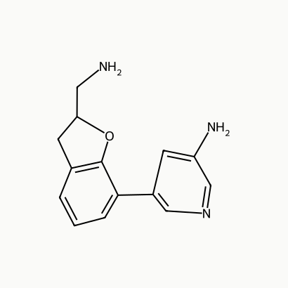 NCC1Cc2cccc(-c3cncc(N)c3)c2O1